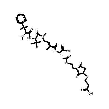 CN[C@H](C(=O)N[C@H](C(=O)N(C)C/C=C(\C)C(=O)N[C@@H](CC(=O)NCCN1C(=O)CC(SCCC(=O)O)C1=O)C(=O)O)C(C)(C)C)C(C)(C)c1ccccc1